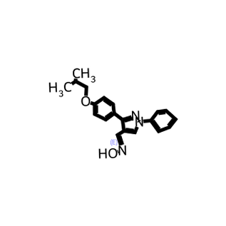 CC(C)COc1ccc(-c2nn(-c3ccccc3)cc2/C=N/O)cc1